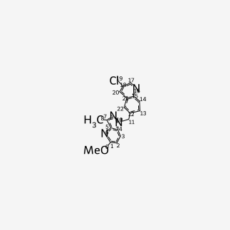 COc1ccc2c(n1)c(C)nn2Cc1ccc2ncc(Cl)cc2c1